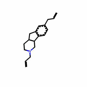 C=CCc1ccc2c(c1)CC1CCN(CC=C)CC21